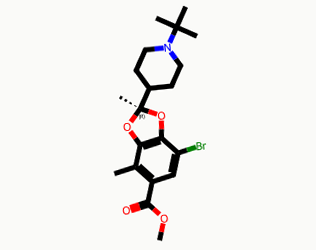 COC(=O)c1cc(Br)c2c(c1C)O[C@@](C)(C1CCN(C(C)(C)C)CC1)O2